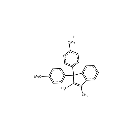 COc1ccc(C2(c3ccc(OC)cc3)C(C)=[N+](C)c3ccccc32)cc1.[I-]